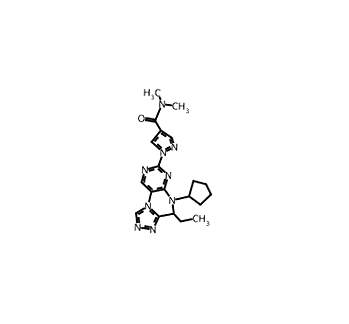 CCC1c2nncn2-c2cnc(-n3cc(C(=O)N(C)C)cn3)nc2N1C1CCCC1